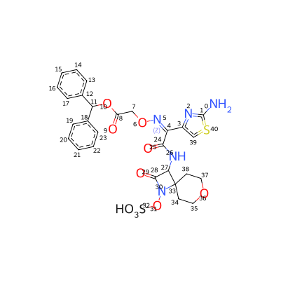 Nc1nc(/C(=N/OCC(=O)OC(c2ccccc2)c2ccccc2)C(=O)NC2C(=O)N(OS(=O)(=O)O)C23CCOCC3)cs1